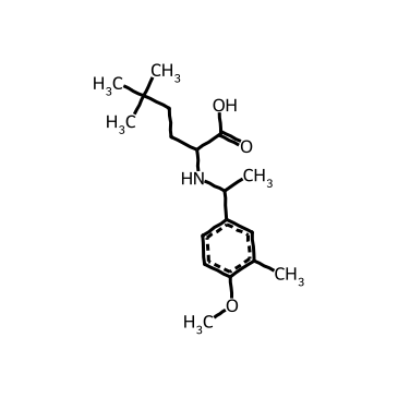 COc1ccc(C(C)NC(CCC(C)(C)C)C(=O)O)cc1C